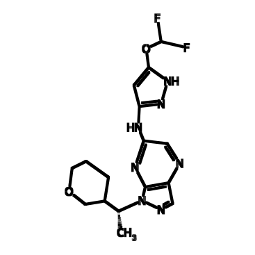 C[C@H](C1CCCOC1)n1ncc2ncc(Nc3cc(OC(F)F)[nH]n3)nc21